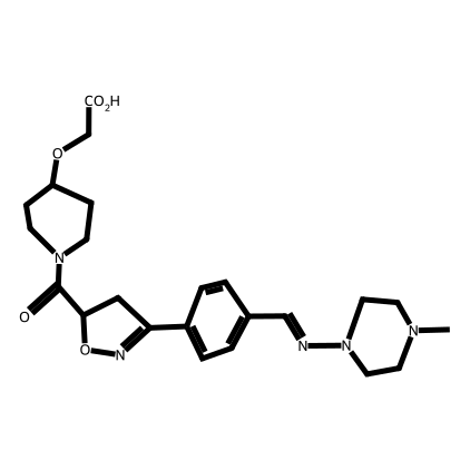 CN1CCN(N=Cc2ccc(C3=NOC(C(=O)N4CCC(OCC(=O)O)CC4)C3)cc2)CC1